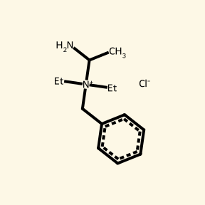 CC[N+](CC)(Cc1ccccc1)C(C)N.[Cl-]